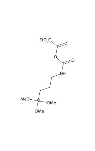 C=C(OC(=O)NCCC[Si](OC)(OC)OC)C(=O)OCC